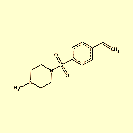 C=Cc1ccc(S(=O)(=O)N2CCN(C)CC2)cc1